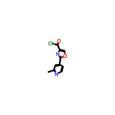 Cc1cc(-c2nc(C(=O)Cl)co2)ccn1